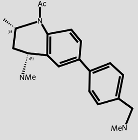 CNCc1ccc(-c2ccc3c(c2)[C@H](NC)C[C@H](C)N3C(C)=O)cc1